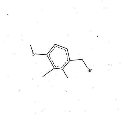 CSc1ccc(CBr)c(C)c1C